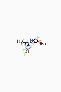 C[CH][C@H](C)Oc1cc2sc(-c3cc(C)cc4nc(OC(F)F)cnc34)nc2cc1F